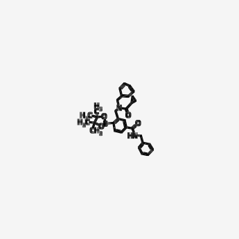 CC1(C)OB(c2ccc(C(=O)NCc3ccccc3)cc2CN(Cc2ccccc2)C(=O)C2CC2)OC1(C)C